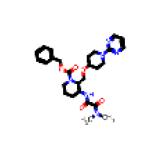 CN(C)C(=O)C(=O)NC1CCCN(C(=O)OCc2ccccc2)C1COC1CCN(c2ncccn2)CC1